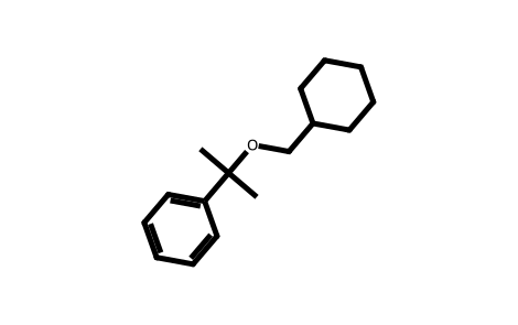 CC(C)(OCC1CCCCC1)c1ccccc1